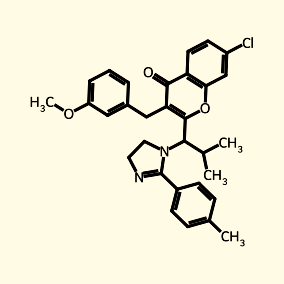 COc1cccc(Cc2c(C(C(C)C)N3CCN=C3c3ccc(C)cc3)oc3cc(Cl)ccc3c2=O)c1